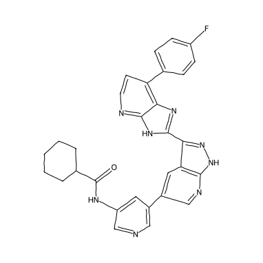 O=C(Nc1cncc(-c2cnc3[nH]nc(-c4nc5c(-c6ccc(F)cc6)ccnc5[nH]4)c3c2)c1)C1CCCCC1